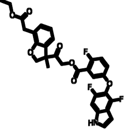 CCOC(=O)Cc1cccc2c1OCC2(C)C(=O)COC(=O)c1cc(Oc2c(F)cc3[nH]ccc3c2F)ccc1F